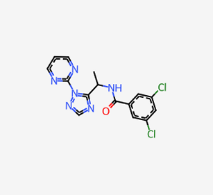 CC(NC(=O)c1cc(Cl)cc(Cl)c1)c1ncnn1-c1ncccn1